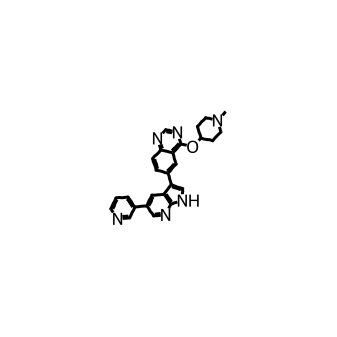 CN1CCC(Oc2ncnc3ccc(-c4c[nH]c5ncc(-c6cccnc6)cc45)cc23)CC1